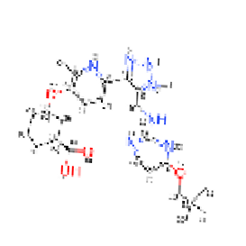 Cc1nc(-c2nnn(C)c2CNc2nccc(OCC(C)(C)C)n2)ccc1O[C@H]1CCC[C@H](C(=O)O)C1